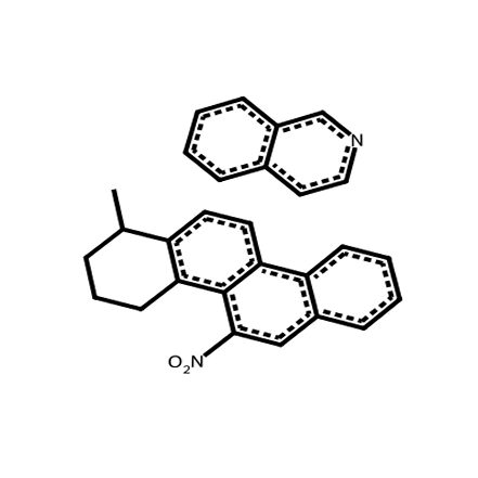 CC1CCCc2c1ccc1c2c([N+](=O)[O-])cc2ccccc21.c1ccc2cnccc2c1